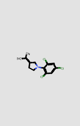 N#CC(C#N)=C1CCN(c2c(Cl)cc(Cl)cc2Cl)C1